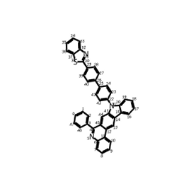 c1ccc(-c2nc3ccccc3c3cc4c5ccccc5n(-c5ccc(-c6ccc(-c7nc8ccccc8s7)cc6)cc5)c4cc23)cc1